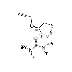 C#CCO[C@H]1CSSC[C@@H]1OP(N(C(C)C)C(C)C)N(C(C)C)C(C)C